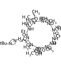 C/C=C/C[C@@H](C)[C@@H](O)[C@H]1C(=O)N[C@@H](CC)C(=O)N(C)[C@H](SCCCN2CCN(CC(C)(C)C)CC2)C(=O)N(C)[C@@H](CC(C)(C)O)C(=O)NC(=O)N(C)C(=O)NC(=O)NC(C)C(=O)N(C)[C@@H](CC(C)C)C(=O)N(C)C(=O)N(C)[C@@H](C(C)C)C(=O)N1C